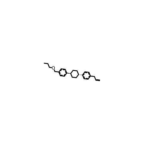 C=CCc1ccc([C@H]2CC[C@H](c3ccc(COCCC)cc3)CC2)cc1